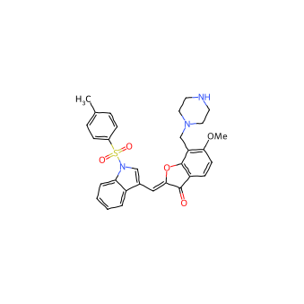 COc1ccc2c(c1CN1CCNCC1)OC(=Cc1cn(S(=O)(=O)c3ccc(C)cc3)c3ccccc13)C2=O